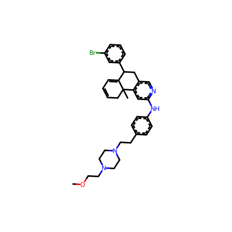 COCCN1CCN(CCc2ccc(Nc3cc4c(cn3)CC(c3cccc(Br)c3)C3=CC=CCC34C)cc2)CC1